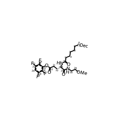 CCCCCCCCCCCCCCCC(=O)N[C@@H](CCC(=O)Oc1c(F)c(F)cc(F)c1F)C(=O)NCCOC